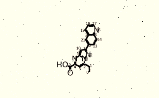 CCc1cc(C(=O)O)nc2cc(-c3ccc4ncccc4c3)nn12